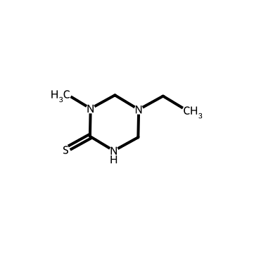 CCN1CNC(=S)N(C)C1